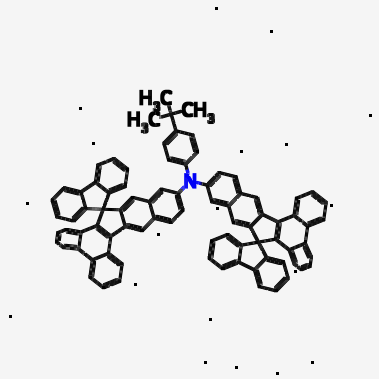 CC(C)(C)c1ccc(N(c2ccc3cc4c(cc3c2)C2(c3ccccc3-c3ccccc32)c2c-4c3ccccc3c3ccccc23)c2ccc3cc4c(cc3c2)C2(c3ccccc3-c3ccccc32)c2c-4c3ccccc3c3ccccc23)cc1